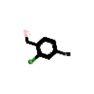 BCc1ccc(C#N)cc1Cl